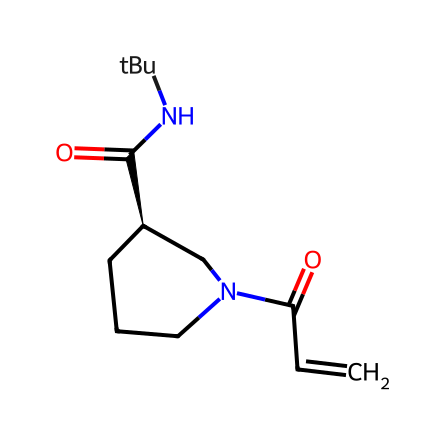 C=CC(=O)N1CCC[C@@H](C(=O)NC(C)(C)C)C1